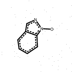 [O]n1ncc2ccccc21